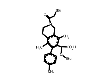 Cc1ccc(-c2c(C)c3c(c(C)c2C(OC(C)(C)C)C(=O)O)CN(C(=O)CC(C)(C)C)CC3)cc1